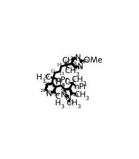 CCCC(C)(C)c1c(Cc2c(C(C)(CCC)CCCC(C)(C)c3cnc(OC)nc3)ccnc2C)nn(C)c1C